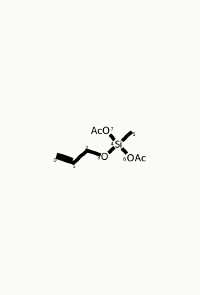 C=CCO[Si](C)(OC(C)=O)OC(C)=O